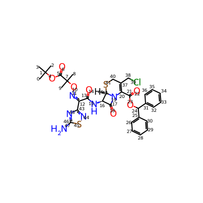 CC(C)(C)OC(=O)C(C)(C)O/N=C(\C(=O)N[C@@H]1C(=O)N2C(C(=O)OC(c3ccccc3)c3ccccc3)=C(CCl)CS[C@@H]12)c1nsc(N)n1